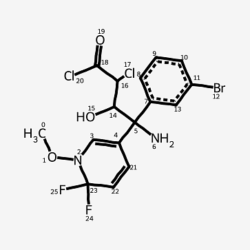 CON1C=C(C(N)(c2cccc(Br)c2)C(O)C(Cl)C(=O)Cl)C=CC1(F)F